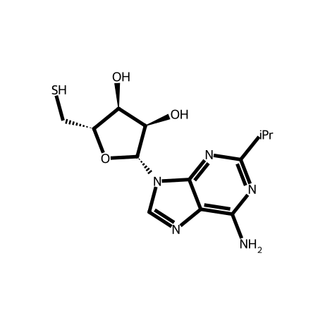 CC(C)c1nc(N)c2ncn([C@@H]3O[C@H](CS)[C@@H](O)[C@H]3O)c2n1